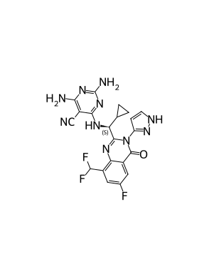 N#Cc1c(N)nc(N)nc1N[C@H](c1nc2c(C(F)F)cc(F)cc2c(=O)n1-c1cc[nH]n1)C1CC1